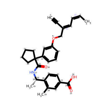 C#C/C(=C\C=C/C)COc1cccc(C2(C(=O)N[C@@H](C)c3ccc(C(=O)O)cc3C)CCCC2)c1